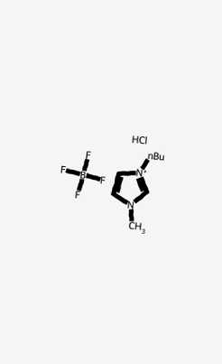 CCCC[n+]1ccn(C)c1.Cl.F[B-](F)(F)F